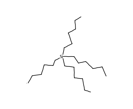 [CH2]CCCCC[Si](CCCCCC)(CCCCCC)CCCCCC